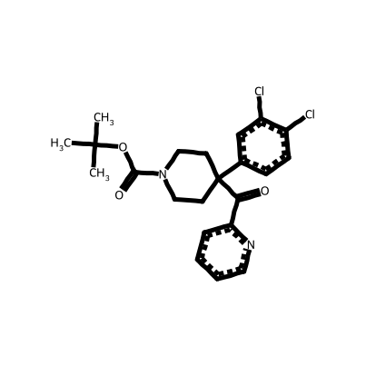 CC(C)(C)OC(=O)N1CCC(C(=O)c2ccccn2)(c2ccc(Cl)c(Cl)c2)CC1